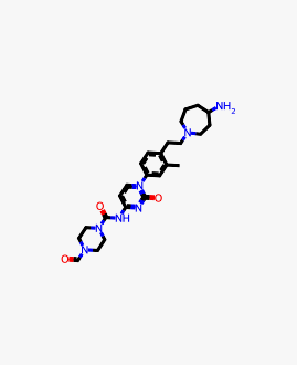 Cc1cc(-n2ccc(NC(=O)N3CCN(C=O)CC3)nc2=O)ccc1CCN1CCCC(N)CC1